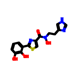 O=C(c1csc(-c2cccc(O)c2O)n1)N(O)CCc1c[nH]cn1